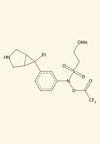 CCC1(c2cccc(N(OC(=O)C(F)(F)F)S(=O)(=O)CCOC)c2)C2CNCC21